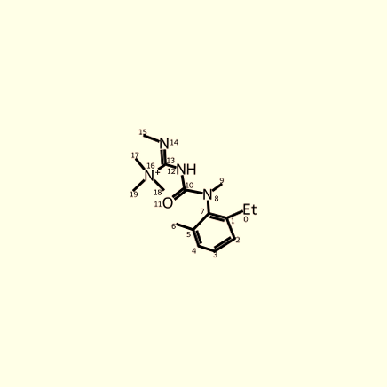 CCc1cccc(C)c1N(C)C(=O)NC(=NC)[N+](C)(C)C